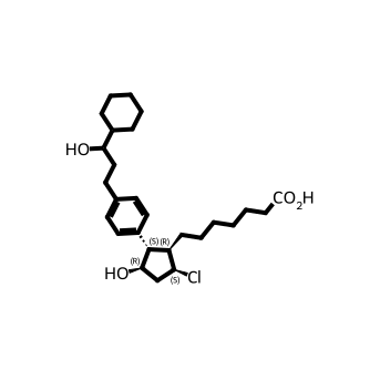 O=C(O)CCCCCC[C@@H]1[C@@H](c2ccc(CCC(O)C3CCCCC3)cc2)[C@H](O)C[C@@H]1Cl